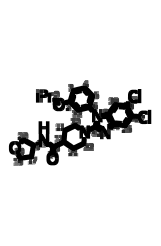 CC(C)Oc1cccc(-n2c(N3CCC(C(=O)N[C@@H]4CCOC4)CC3)nc3cc(Cl)c(Cl)cc32)c1